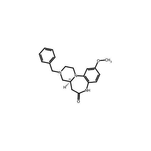 COc1ccc2c(c1)N1CCN(Cc3ccccc3)C[C@@H]1CC(=O)N2